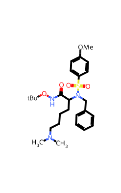 COc1ccc(S(=O)(=O)N(Cc2ccccc2)C(CCCCN(C)C)C(=O)NOC(C)(C)C)cc1